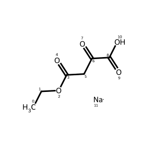 CCOC(=O)CC(=O)C(=O)O.[Na]